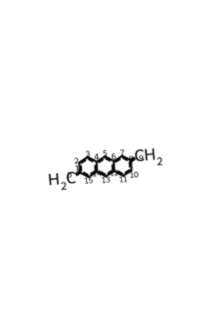 C=c1ccc2cc3cc(=C)ccc3cc2c1